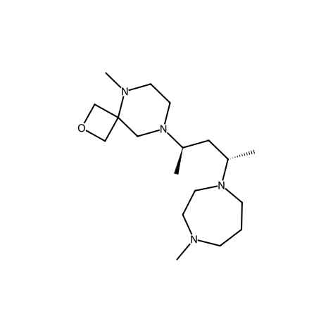 C[C@H](C[C@H](C)N1CCCN(C)CC1)N1CCN(C)C2(COC2)C1